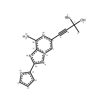 CC(C)(C)C(C)(O)C#Cc1cn2nc(-c3ccco3)nc2c(N)n1